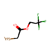 O=C(CS)OCC(F)(F)F